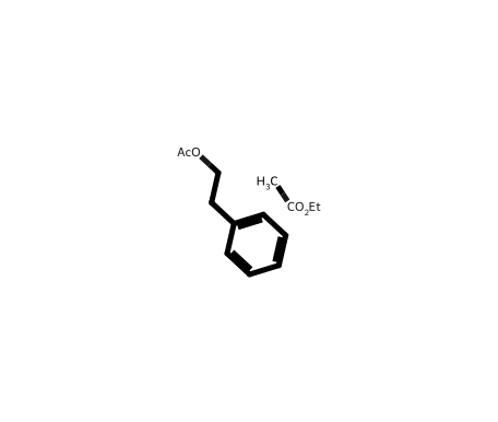 CC(=O)OCCc1ccccc1.CCOC(C)=O